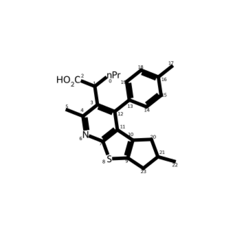 CCCC(C(=O)O)c1c(C)nc2sc3c(c2c1-c1ccc(C)cc1)CC(C)C3